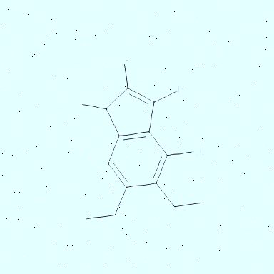 CCc1cc2c(c(O)c1CC)C(Br)=C(Br)C2O